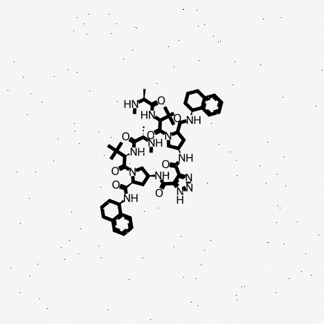 CN[C@@H](C)C(=O)NC(C(=O)N1C[C@@H](NC(=O)c2nn[nH]c2C(=O)N[C@H]2C[C@@H](C(=O)N[C@@H]3CCCc4ccccc43)N(C(=O)[C@@H](NC(=O)[C@H](C)NC)C(C)(C)C)C2)CC1C(=O)N[C@@H]1CCCc2ccccc21)C(C)(C)C